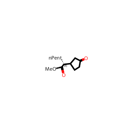 CCCCC[C@@H](C(=O)OC)C1CCC(=O)C1